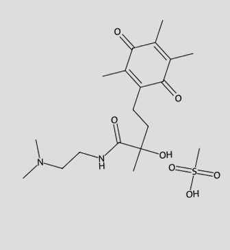 CC1=C(C)C(=O)C(CCC(C)(O)C(=O)NCCN(C)C)=C(C)C1=O.CS(=O)(=O)O